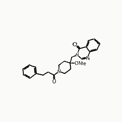 COC1(Cn2cnc3ccccc3c2=O)CCN(C(=O)CCc2ccccc2)CC1